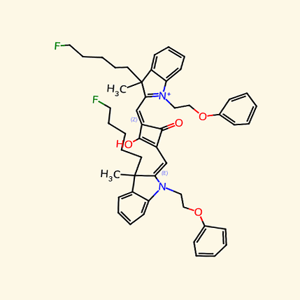 CC1(CCCCCF)C(/C=C2\C(=O)C(/C=C3/N(CCOc4ccccc4)c4ccccc4C3(C)CCCCCF)=C2O)=[N+](CCOc2ccccc2)c2ccccc21